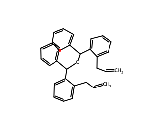 C=CCc1ccccc1C(OC(c1ccccc1)c1ccccc1CC=C)c1ccccc1